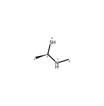 CN[C@@H](C)S